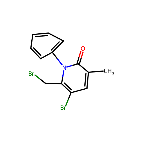 Cc1cc(Br)c(CBr)n(-c2ccccc2)c1=O